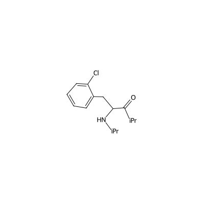 CC(C)NC(Cc1ccccc1Cl)C(=O)C(C)C